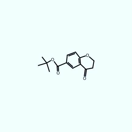 CC(C)(C)OC(=O)c1ccc2c(c1)C(=O)CCO2